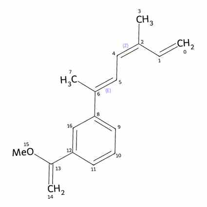 C=C/C(C)=C\C=C(/C)c1cccc(C(=C)OC)c1